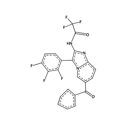 O=C(c1ccccc1)c1ccc2nc(NC(=O)C(F)(F)F)c(-c3ccc(F)c(F)c3F)n2c1